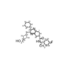 C[C@@H](NC(=O)c1ccc2nc(-c3ccccc3)c(CC3CC(C(=O)O)C3)nc2c1)c1ccc(F)cc1